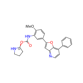 COc1ccc(-c2cc3nccc(-c4ccccc4)c3o2)cc1NC(=O)O[C@H]1CCCN1